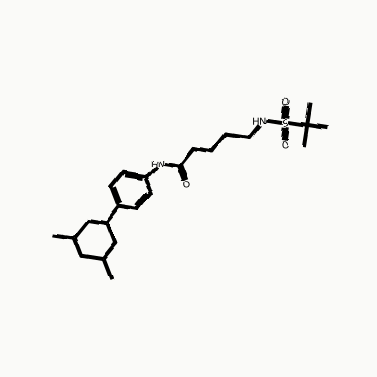 CC1CC(C)CC(c2ccc(NC(=O)CCCCNS(=O)(=O)C(C)(C)C)cc2)C1